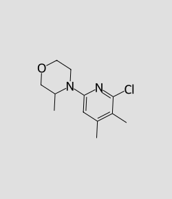 Cc1cc(N2CCOCC2C)nc(Cl)c1C